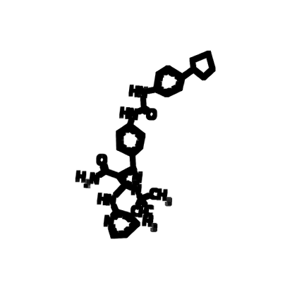 CC(C)(C)n1nc(-c2ccc(NC(=O)Nc3ccc(C4CCCC4)cc3)cc2)c(C(N)=O)c1Nc1ccccn1